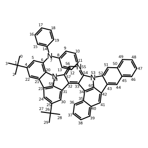 CC(C)(C)c1cc(N(c2ccccc2)c2ccccc2)c2c(c1)c1cc(C(C)(C)C)cc3c4c5c6c7ccccc7cc7c8cc9ccccc9cc8n(c5ncc4n2c13)c76